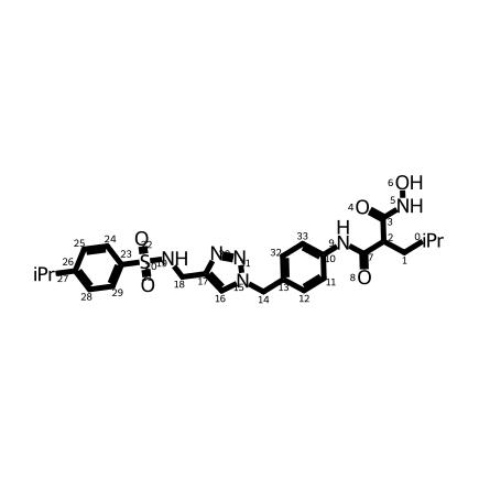 CC(C)CC(C(=O)NO)C(=O)Nc1ccc(Cn2cc(CNS(=O)(=O)c3ccc(C(C)C)cc3)nn2)cc1